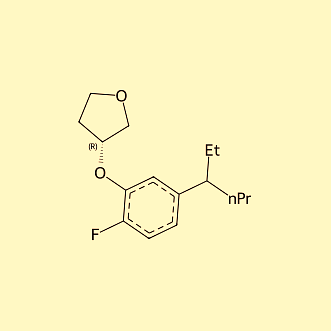 CCCC(CC)c1ccc(F)c(O[C@@H]2CCOC2)c1